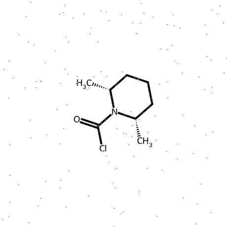 C[C@@H]1CCC[C@H](C)N1C(=O)Cl